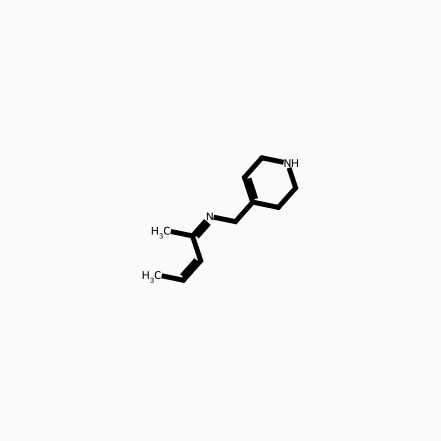 C/C=C\C(C)=N/CC1=CCNCC1